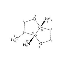 CC1CO[C@]2(N)CCO[C@]12N